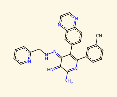 N#Cc1cccc(C2=C(c3ccc4nccnc4c3)/C(=N/NCc3ccccn3)C(=N)C(N)=N2)c1